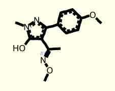 CO/N=C(\C)c1c(-c2ccc(OC)cc2)nn(C)c1O